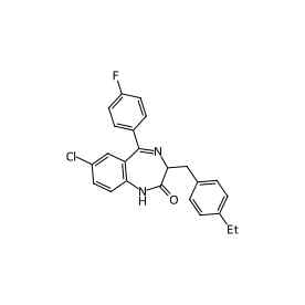 CCc1ccc(CC2N=C(c3ccc(F)cc3)c3cc(Cl)ccc3NC2=O)cc1